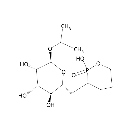 CC(C)O[C@H]1O[C@H](CC2CCCOP2(=O)O)[C@@H](O)[C@H](O)[C@@H]1O